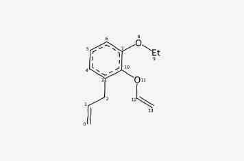 C=CCc1cccc(OCC)c1OC=C